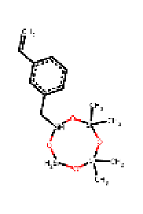 C=Cc1cccc(C[SiH]2O[SiH2]O[Si](C)(C)O[Si](C)(C)O2)c1